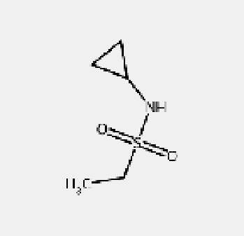 CCS(=O)(=O)NC1CC1